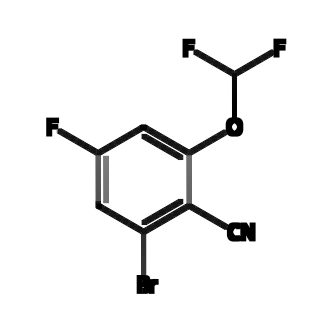 N#Cc1c(Br)cc(F)cc1OC(F)F